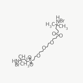 CC(C)(CCS(=O)(=O)CCOCCOCCOCCS(=O)(=O)CCC(C)(C)NBr)NBr